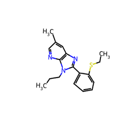 CCCn1c(-c2ccccc2SCC)nc2cc(C)cnc21